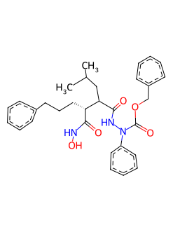 CC(C)CC(C(=O)NN(C(=O)OCc1ccccc1)c1ccccc1)[C@@H](CCCc1ccccc1)C(=O)NO